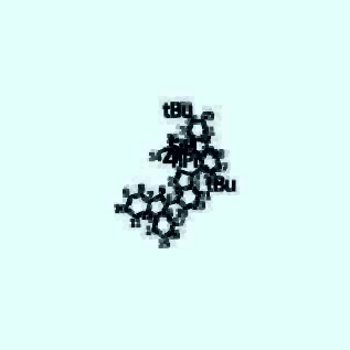 CCCC1=Cc2c(-c3cc4ccccc4c4ccccc34)cccc2C1c1c(C(C)(C)C)ccc2c1[CH]([Zr][SiH](C)C)c1cc(C(C)(C)C)ccc1-2